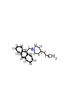 CCCC1CCN(Cc2c3ccccc3cc3ccccc23)CC1